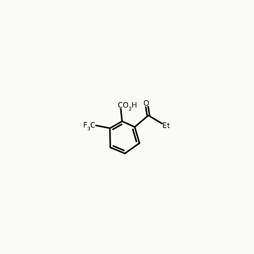 CCC(=O)c1cccc(C(F)(F)F)c1C(=O)O